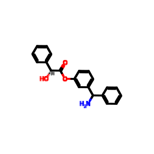 NC(c1ccccc1)c1cccc(OC(=O)[C@H](O)c2ccccc2)c1